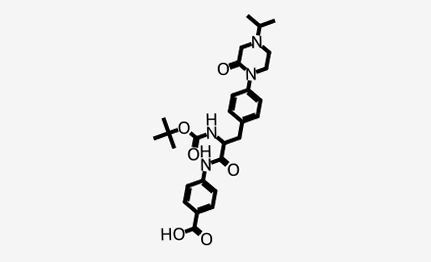 CC(C)N1CCN(c2ccc(CC(NC(=O)OC(C)(C)C)C(=O)Nc3ccc(C(=O)O)cc3)cc2)C(=O)C1